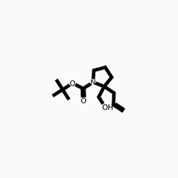 C=CCC1(CO)CCCN1C(=O)OC(C)(C)C